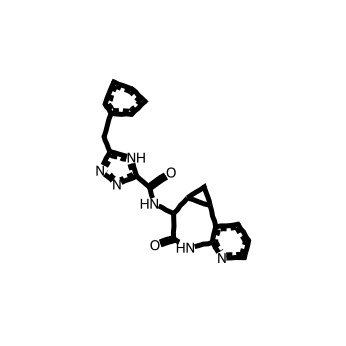 O=C(NC1C(=O)Nc2ncccc2C2CC12)c1nnc(Cc2ccccc2)[nH]1